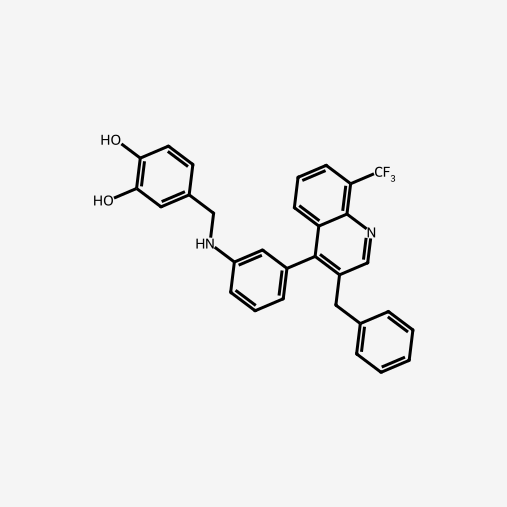 Oc1ccc(CNc2cccc(-c3c(Cc4ccccc4)cnc4c(C(F)(F)F)cccc34)c2)cc1O